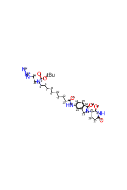 CC(C)(C)OC(=O)N(CCCCCCCCCC(=O)Nc1ccc2c(c1)CN(C1CCC(=O)NC1=O)C2=O)CCN=[N+]=[N-]